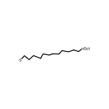 CCCCCCCCCCCCCCCCCCCC[S]